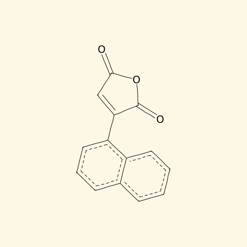 O=C1C=C(c2cccc3ccccc23)C(=O)O1